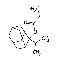 [CH2]CC(=O)OC1(C(C)C)C2CC3CC(C2)CC1C3